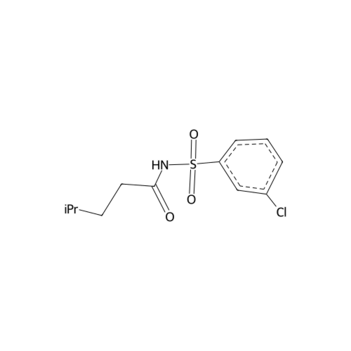 CC(C)CCC(=O)NS(=O)(=O)c1cccc(Cl)c1